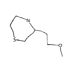 COCCC1CSCC[N]1